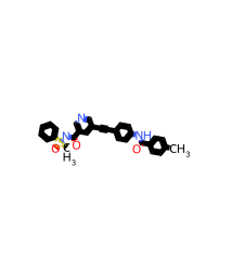 Cc1ccc(C(=O)Nc2ccc(C#Cc3cncc(C(=O)N=S(C)(=O)c4ccccc4)c3)cc2)cc1